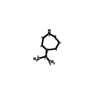 CN(C)N1CCCNCC1